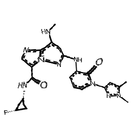 CNc1cc(Nc2cccn(-c3cc(C)n(C)n3)c2=O)nn2c(C(=O)N[C@@H]3C[C@@H]3F)cnc12